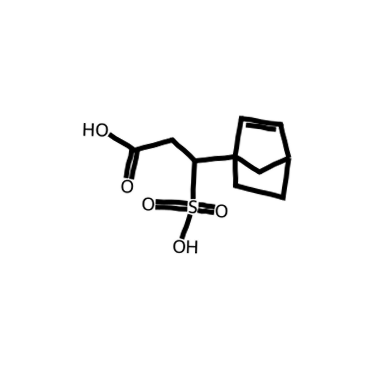 O=C(O)CC(C12C=CC(CC1)C2)S(=O)(=O)O